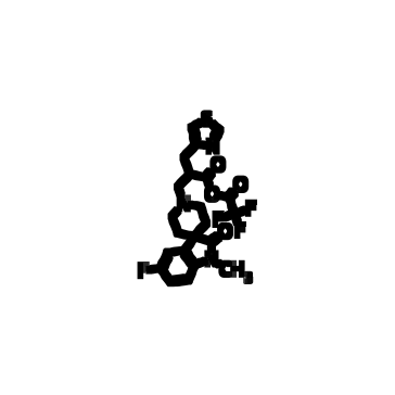 CN1C(=O)C2(CCN(CC(Cc3cscn3)C(=O)OC(=O)C(F)(F)F)CC2)c2cc(F)ccc21